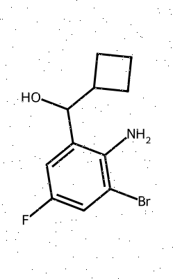 Nc1c(Br)cc(F)cc1C(O)C1CCC1